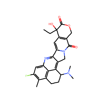 CCC1(O)C(=O)OCc2c1cc1n(c2=O)Cc2c-1nc1cc(F)c(C)c3c1c2C(N(C)C)CC3